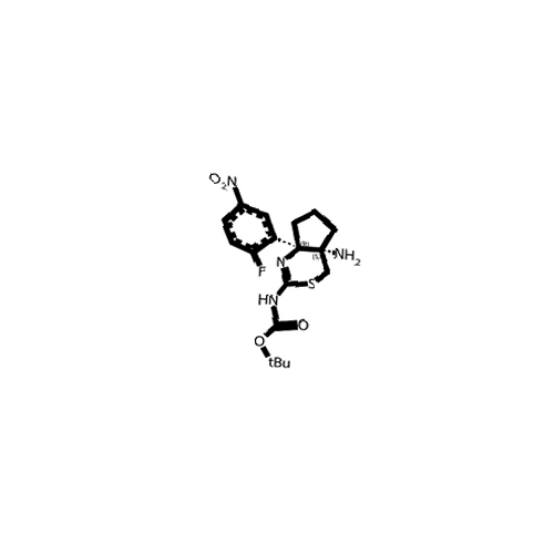 CC(C)(C)OC(=O)NC1=N[C@@]2(c3cc([N+](=O)[O-])ccc3F)CCC[C@@]2(N)CS1